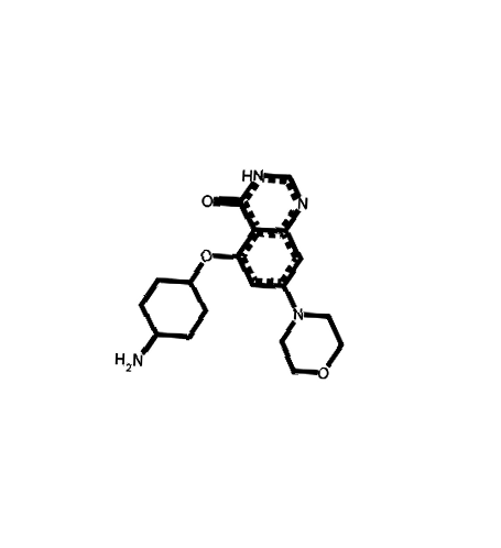 NC1CCC(Oc2cc(N3CCOCC3)cc3nc[nH]c(=O)c23)CC1